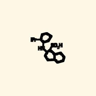 CC(C)c1ccccc1Nc1ccc2ccccc2c1S(=O)(=O)O